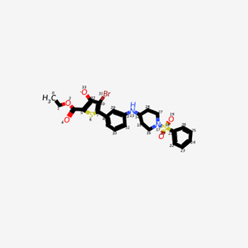 CCOC(=O)c1sc(-c2cccc(NC3CCN(S(=O)(=O)c4ccccc4)CC3)c2)c(Br)c1[O]